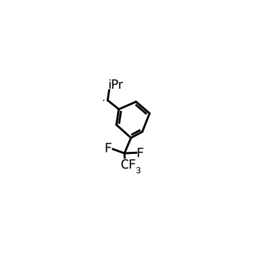 CC(C)[CH]c1cccc(C(F)(F)C(F)(F)F)c1